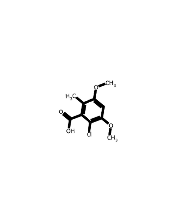 COc1cc(OC)c(Cl)c(C(=O)O)c1C